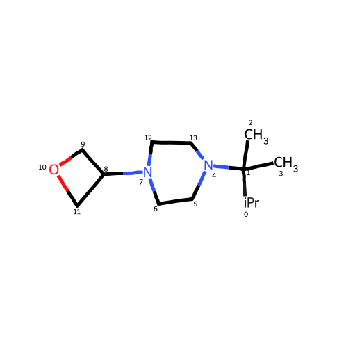 CC(C)C(C)(C)N1CCN(C2COC2)CC1